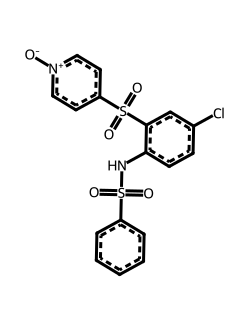 O=S(=O)(Nc1ccc(Cl)cc1S(=O)(=O)c1cc[n+]([O-])cc1)c1ccccc1